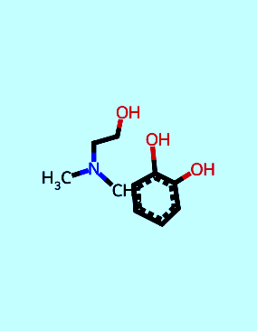 CN(C)CCO.Oc1ccccc1O